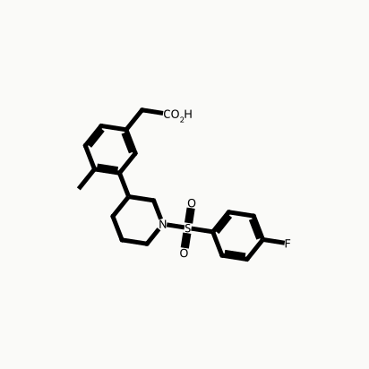 Cc1ccc(CC(=O)O)cc1C1CCCN(S(=O)(=O)c2ccc(F)cc2)C1